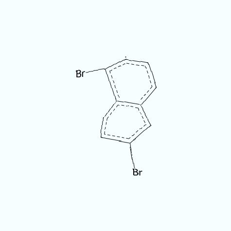 Brc1ccc2c(Br)[c]ccc2c1